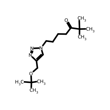 CC(C)(C)OCc1cn(CCCCC(=O)C(C)(C)C)nn1